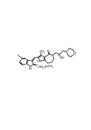 CS(=O)(=O)O.Cc1c(/C=C2\C(=O)Nc3ccc(F)cc32)[nH]c2c1C(=O)N(C[C@H](O)CN1CCOCC1)CCC2